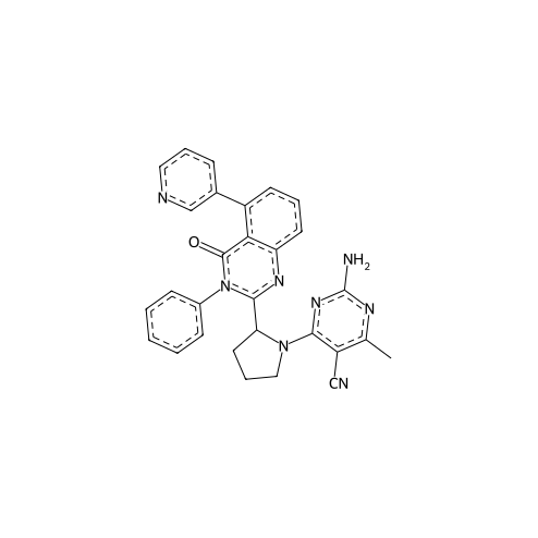 Cc1nc(N)nc(N2CCCC2c2nc3cccc(-c4cccnc4)c3c(=O)n2-c2ccccc2)c1C#N